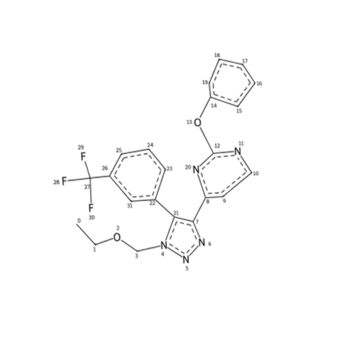 CCOCn1nnc(-c2ccnc(Oc3ccccc3)n2)c1-c1cccc(C(F)(F)F)c1